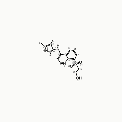 Cc1[nH]nc(Nc2ccnc3c(S(=O)(=O)CCO)cccc23)c1C